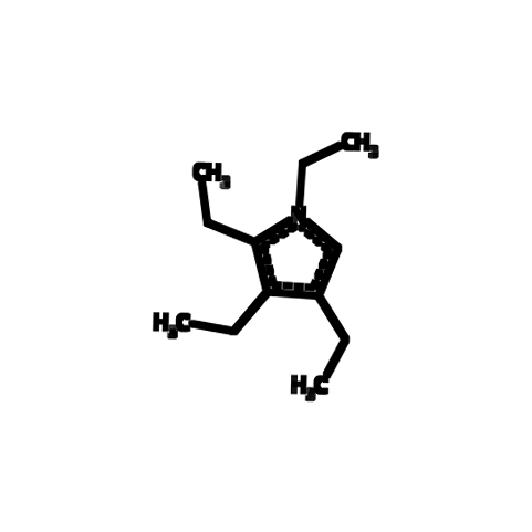 CCc1cn(CC)c(CC)c1CC